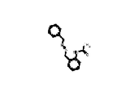 CC(=O)Nc1ccccc1CN=NCc1ccccc1